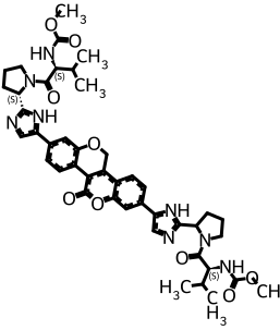 COC(=O)N[C@H](C(=O)N1CCCC1c1ncc(-c2ccc3c4c(c(=O)oc3c2)-c2ccc(-c3cnc([C@@H]5CCCN5C(=O)[C@@H](NC(=O)OC)C(C)C)[nH]3)cc2OC4)[nH]1)C(C)C